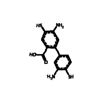 Nc1cc(-c2cc(N)c(S)cc2C(=O)O)ccc1S